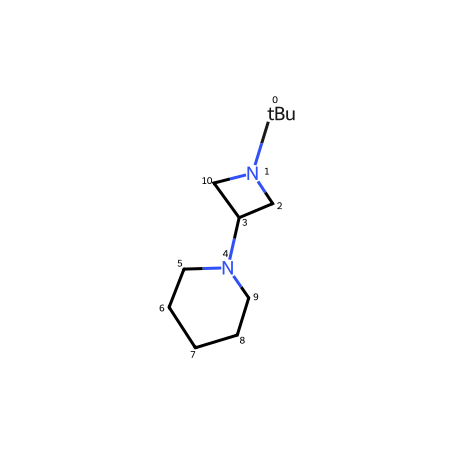 CC(C)(C)N1CC(N2CCCCC2)C1